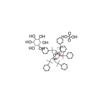 CC(C)([CH2][Sn]([CH2]C(C)(C)c1ccccc1)([CH2]C(C)(C)c1ccccc1)[O][Sn]([CH2]C(C)(C)c1ccccc1)([CH2]C(C)(C)c1ccccc1)[CH2]C(C)(C)c1ccccc1)c1ccccc1.O=S(=O)(O)O.O[C@H]1[C@H](O)[C@@H](O)[C@H](O)[C@@H](O)[C@H]1O